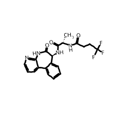 C[C@H](NC(=O)CCC(F)(F)F)C(=O)N[C@@H]1C(=O)Nc2ncccc2-c2ccccc21